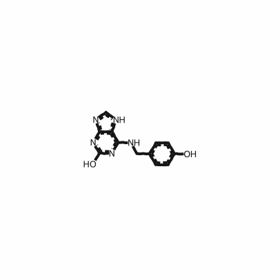 Oc1ccc(CNc2nc(O)nc3nc[nH]c23)cc1